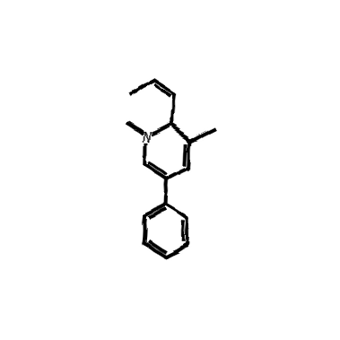 C/C=C\C1C(C)=CC(c2ccccc2)=CN1C